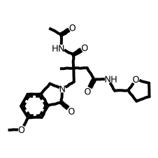 COc1ccc2c(c1)C(=O)N(CC(C)(CC(=O)NCC1CCCO1)C(=O)NC(C)=O)C2